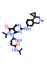 CC(C)NC(=O)/C=C\C(=N)n1c2nc(Nc3ccc4c(c3)CN(C)CC43CC3)ncc2c(=O)n1C(C)C